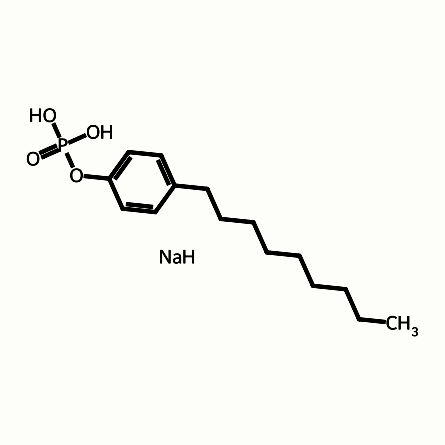 CCCCCCCCCc1ccc(OP(=O)(O)O)cc1.[NaH]